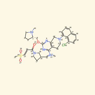 CN1CCC[C@H]1COc1nc2c(c(/[N+](C)=C\C3CCN(C(=O)/C=C/S(C)(=O)=O)C3)n1)CCN(c1cccc3cccc(Cl)c13)C2